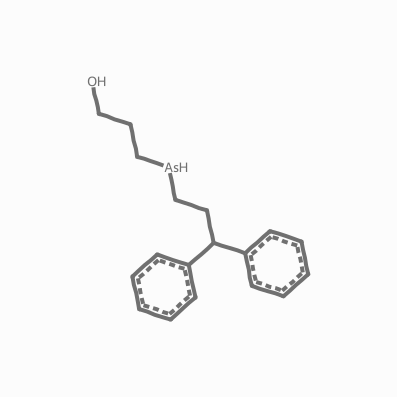 OCCC[AsH]CCC(c1ccccc1)c1ccccc1